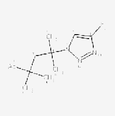 CCc1cn(C(C)(C)CC(C)(C)C(C)=O)nn1